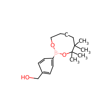 CC1(C)CCCCOB(c2ccc(CO)cc2)OC1(C)C